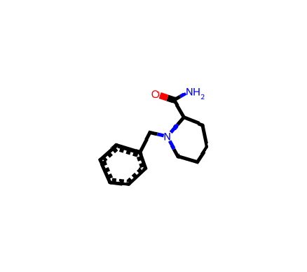 NC(=O)C1CCCCN1Cc1ccccc1